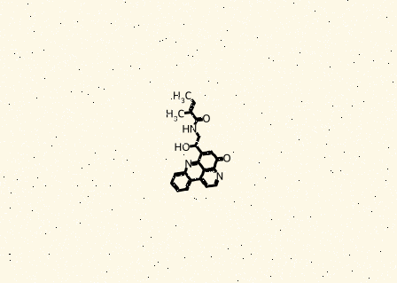 C/C=C(\C)C(=O)NCC(O)C1=CC(=O)c2nccc3c2c1nc1ccccc13